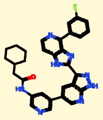 O=C(CC1CCCCC1)Nc1cncc(-c2cnc3[nH]nc(-c4nc5c(-c6cccc(F)c6)nccc5[nH]4)c3c2)c1